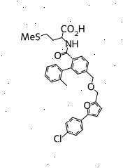 CSCCC(NC(=O)c1ccc(COCc2ccc(-c3ccc(Cl)cc3)o2)cc1-c1ccccc1C)C(=O)O